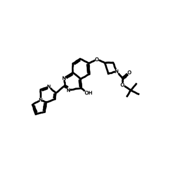 CC(C)(C)OC(=O)N1CC(Oc2ccc3nc(-c4cc5cccn5cn4)nc(O)c3c2)C1